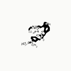 CN(c1cccc(CN2C(=O)NC(Cc3ccc4[nH]cc(CCN)c4c3)C2=O)c1)S(=O)(=O)O.O=C(O)/C=C\C(=O)O